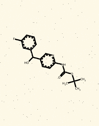 CC(C)(C)OC(=O)Nc1ccc(C(O)c2cccc(F)c2)cn1